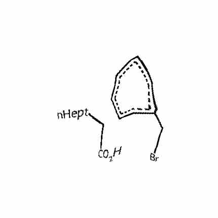 BrCc1ccccc1.CCCCCCCCC(=O)O